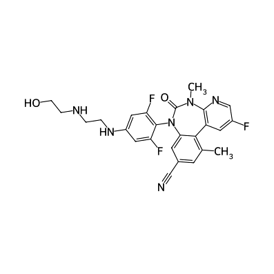 Cc1cc(C#N)cc2c1-c1cc(F)cnc1N(C)C(=O)N2c1c(F)cc(NCCNCCO)cc1F